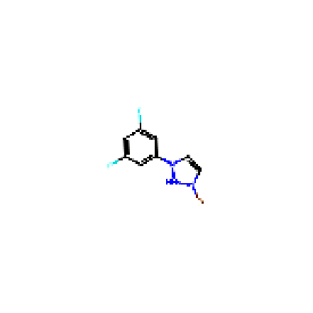 Fc1cc(F)cc(N2C=CN(Br)N2)c1